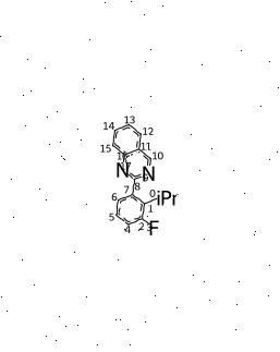 CC(C)c1c(F)cccc1-c1ncc2ccccc2n1